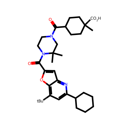 CC1(C(=O)O)CCC(C(=O)N2CCN(C(=O)c3cc4nc(C5CCCCC5)cc(C(C)(C)C)c4o3)C(C)(C)C2)CC1